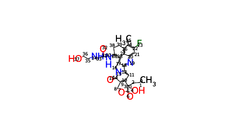 CCC[C@@]1(O)C(=O)OCc2c1cc1n(c2=O)Cc2c-1nc1cc(F)c(C)c3c1c2[C@@H](NC(=O)CNCCO)CC3